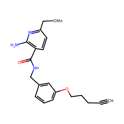 C#CCCCOc1cccc(CNC(=O)c2ccc(COC)nc2N)c1